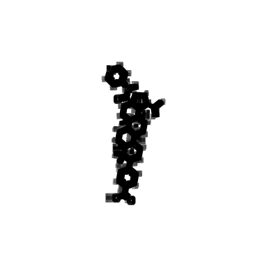 C=C(C)[C@@H]1CC[C@]2(C(=O)N(C)c3ccncc3)CC[C@]3(C)[C@H](CC[C@@H]4[C@@]5(C)CC=C(c6ccc(C(=O)O)cc6)C(C)(C)[C@@H]5CC[C@]43C)[C@@H]12